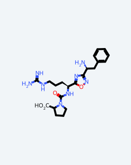 N=C(N)NCCC[C@H](NC(=O)N1CCCC1C(=O)O)c1nc([C@@H](N)Cc2ccccc2)no1